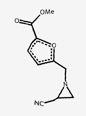 COC(=O)c1ccc(CN2CC2C#N)o1